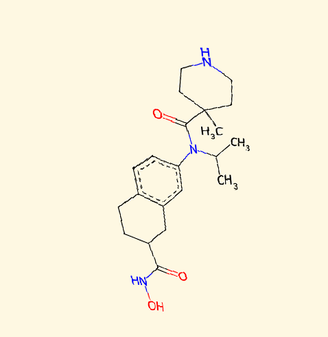 CC(C)N(C(=O)C1(C)CCNCC1)c1ccc2c(c1)CC(C(=O)NO)CC2